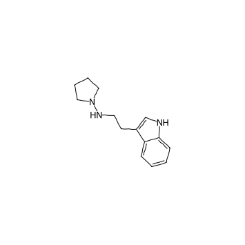 c1ccc2c(CCNN3CCCC3)c[nH]c2c1